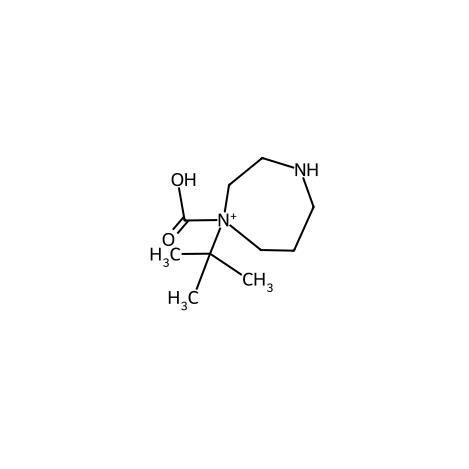 CC(C)(C)[N+]1(C(=O)O)CCCNCC1